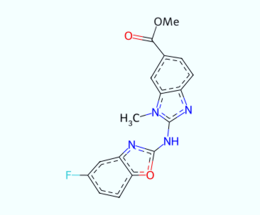 COC(=O)c1ccc2nc(Nc3nc4cc(F)ccc4o3)n(C)c2c1